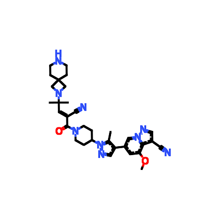 COc1cc(-c2cnn(C3CCN(C(=O)C(C#N)=CC(C)(C)N4CC5(CCNCC5)C4)CC3)c2C)cn2ncc(C#N)c12